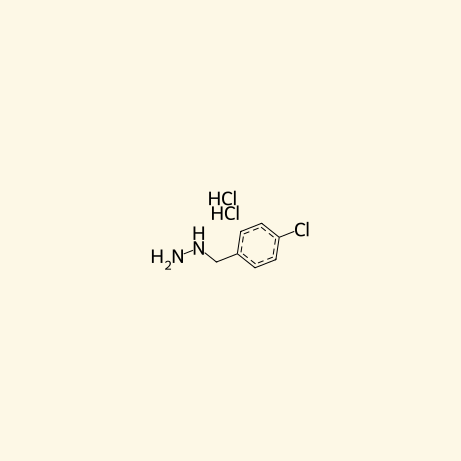 Cl.Cl.NNCc1ccc(Cl)cc1